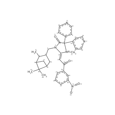 CC1C(CN2C(=O)C(c3ccncc3)(c3ccncc3)N(C)C2=CC(=O)c2cccc([N+](=O)[O-])c2)CC2CC1C2(C)C